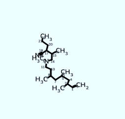 C=CC(C)C[C@H](C)CC(C)CCN(C)CC(C)C(C#N)CCC